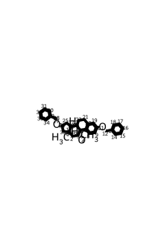 C[C@]12CC(=O)[C@]3(C)c4ccc(OCc5ccccc5)cc4CC[C@H]3[C@@H]1C[C@@H](OCc1ccccc1)C2